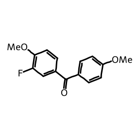 COc1ccc(C(=O)c2ccc(OC)c(F)c2)cc1